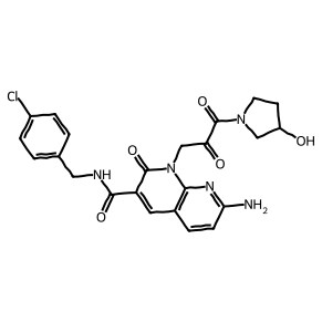 Nc1ccc2cc(C(=O)NCc3ccc(Cl)cc3)c(=O)n(CC(=O)C(=O)N3CCC(O)C3)c2n1